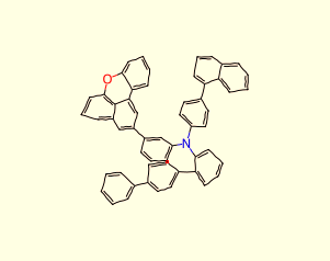 c1ccc(-c2ccc(-c3ccccc3N(c3ccc(-c4cccc5ccccc45)cc3)c3cccc(-c4cc5c6c(cccc6c4)Oc4ccccc4-5)c3)cc2)cc1